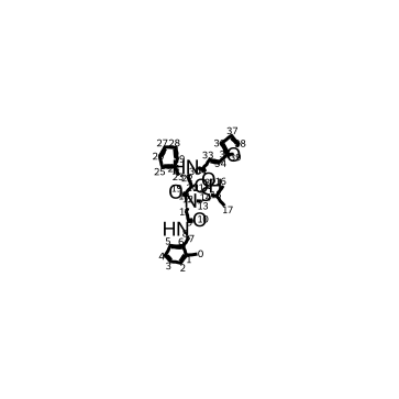 Cc1ccccc1CNC(=O)CN(CSC(C)C)C(=O)[C@@H](O)[C@H](Cc1ccccc1)NC(=O)/C=C/c1ccco1